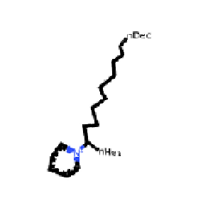 CCCCCCCCCCCCCCCCCCCC(CCCCCC)[n+]1ccccc1